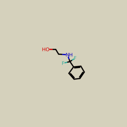 OCCNC(F)(F)c1ccccc1